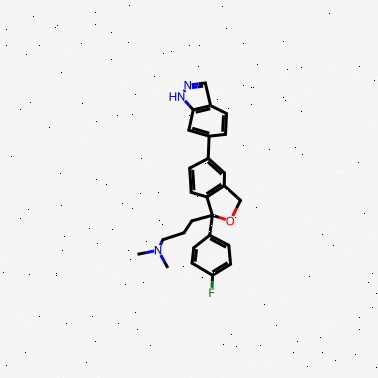 CN(C)CCCC1(c2ccc(F)cc2)OCc2cc(-c3ccc4cn[nH]c4c3)ccc21